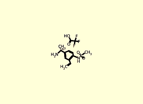 C=Cc1cc([C@@H](C)N)ccc1NS(C)(=O)=O.O=C(O)C(F)(F)F